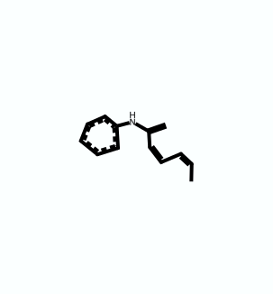 C=C(/C=C\C=C/C)Nc1ccccc1